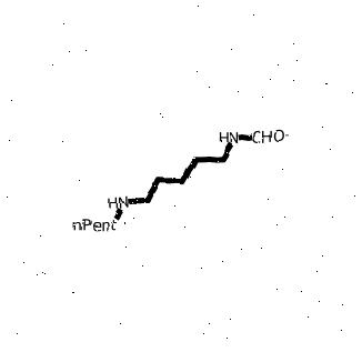 CCCCCNCCCCCN[C]=O